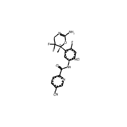 C[C@]1(c2cc(NC(=O)c3ccc(C#N)cn3)ccc2F)OC(N)=NCC1(F)F.Cl